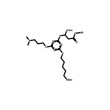 CCCCCCCCCCCCCCCSc1nc(OCCCN(C)C)nc(SC(CCCCCC)CC(=O)OCCC)n1